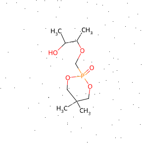 CC(O)C(C)OCP1(=O)OCC(C)(C)CO1